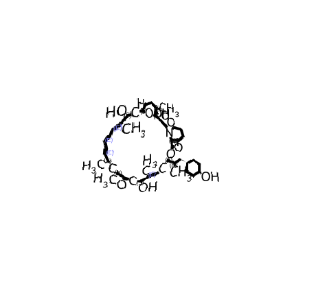 C/C1=C\C[C@@H]([C@H](C)C[C@H]2CC[C@H](O)CC2)OC(=O)[C@@H]2CCCCN2C(=O)C(=O)[C@]2(O)O[C@@H](CC[C@H]2C)C[C@H](O)/C(C)=C/C=C/C=C/[C@@H](C)C[C@@H](C)C(=O)C[C@@H]1O